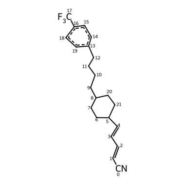 N#CC=CC=CC1CCC(CCCCc2ccc(C(F)(F)F)cc2)CC1